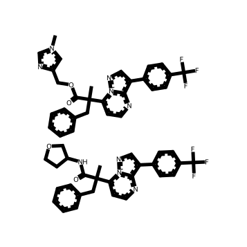 CC(Cc1ccccc1)(C(=O)NC1CCOC1)c1ccnc2c(-c3ccc(C(F)(F)F)cc3)cnn12.Cn1cnc(COC(=O)C(C)(Cc2ccccc2)c2ccnc3c(-c4ccc(C(F)(F)F)cc4)cnn23)c1